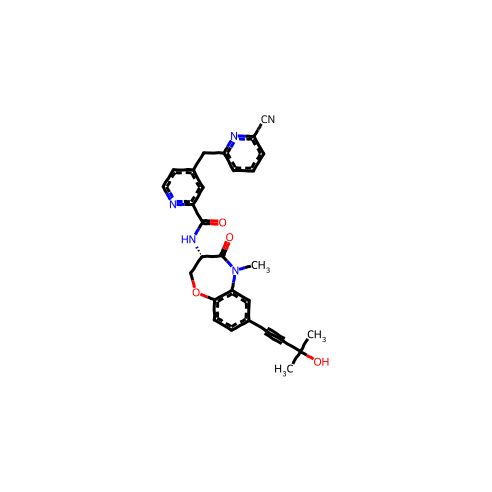 CN1C(=O)[C@@H](NC(=O)c2cc(Cc3cccc(C#N)n3)ccn2)COc2ccc(C#CC(C)(C)O)cc21